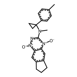 Cc1ccc(C2(N(C)c3n[n+]([O-])c4cc5c(cc4[n+]3[O-])CCC5)CC2)cc1